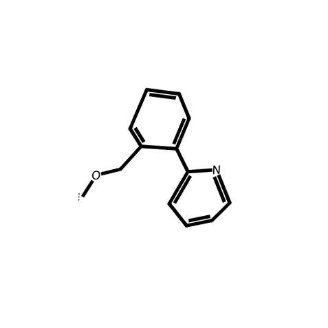 [C]OCc1ccccc1-c1ccccn1